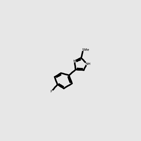 CSc1nc(-c2ccc(F)cc2)c[nH]1